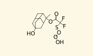 CC1(OC(=O)C(F)(F)SOOO)C2CC3CC1CC(O)(C3)C2